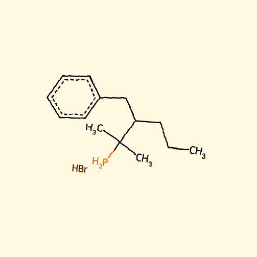 Br.CCCC(Cc1ccccc1)C(C)(C)P